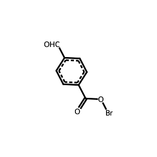 O=Cc1ccc(C(=O)OBr)cc1